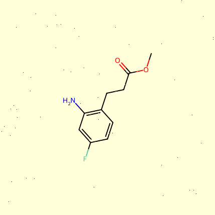 COC(=O)CCc1ccc(F)cc1N